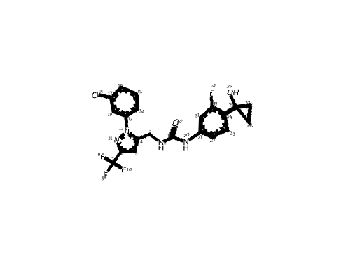 O=C(NCc1cc(C(F)(F)F)nn1-c1cccc(Cl)c1)Nc1ccc(C2(O)CC2)c(F)c1